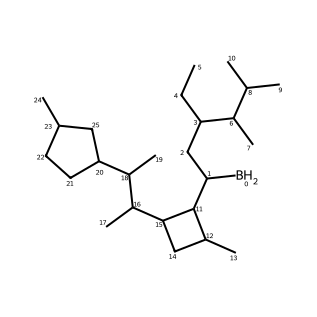 BC(CC(CC)C(C)C(C)C)C1C(C)CC1C(C)C(C)C1CCC(C)C1